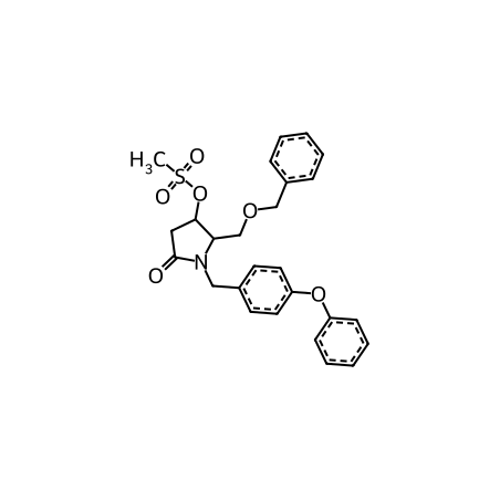 CS(=O)(=O)OC1CC(=O)N(Cc2ccc(Oc3ccccc3)cc2)C1COCc1ccccc1